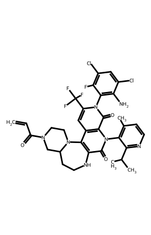 C=CC(=O)N1CCN2c3c(c(=O)n(-c4c(C)ccnc4C(C)C)c4c(=O)n(-c5c(N)c(Cl)cc(Cl)c5F)c(C(F)(F)F)cc34)NCCC2C1